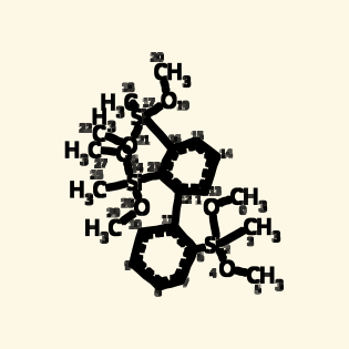 CO[Si](C)(OC)c1ccccc1-c1cccc([Si](C)(OC)OC)c1[Si](C)(OC)OC